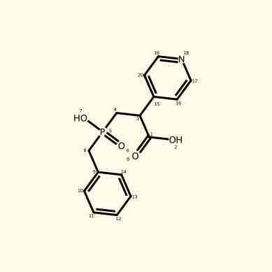 O=C(O)C(CP(=O)(O)Cc1ccccc1)c1ccncc1